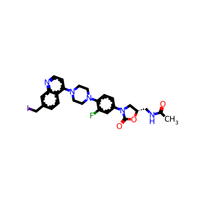 CC(=O)NC[C@H]1CN(c2ccc(N3CCN(c4ccnc5cc(CI)ccc45)CC3)c(F)c2)C(=O)O1